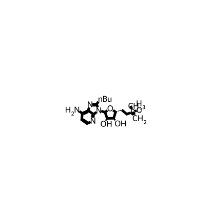 C=P(C)(C)CC[C@H]1OC(n2c(CCCC)nc3c(N)ccnc32)[C@H](O)[C@@H]1O